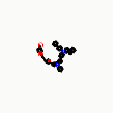 CC1(C)c2ccccc2-c2ccc(N(c3ccc(-c4ccccc4)cc3)c3ccc(-c4ccc5c(c4)c4cc(-c6ccc(CCCCOc7ccc(C=O)cc7)cc6)ccc4n5-c4ccccc4)cc3)cc21